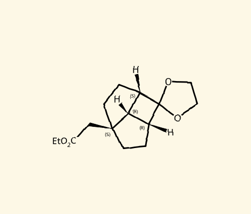 CCOC(=O)C[C@]12CC[C@@H]3[C@H]1[C@H](CC2)C31OCCO1